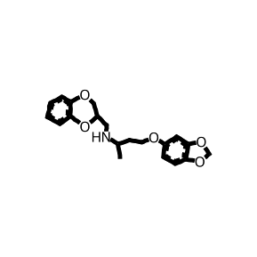 CC(CCOc1ccc2c(c1)OCO2)NCC1COc2ccccc2O1